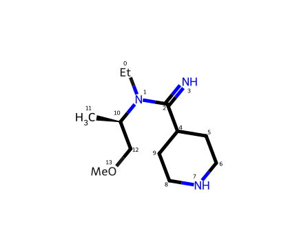 CCN(C(=N)C1CCNCC1)[C@H](C)COC